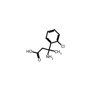 CC(N)(CC(=O)O)c1ccccc1Cl